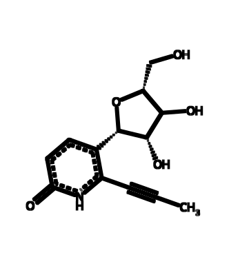 CC#Cc1[nH]c(=O)ccc1[C@@H]1O[C@H](CO)C(O)[C@@H]1O